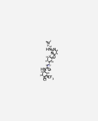 CN(C)CCNc1nccc(Oc2cccc(/C=C/C(=O)Nc3ccc(Cl)c(C(F)(F)F)c3)c2)n1